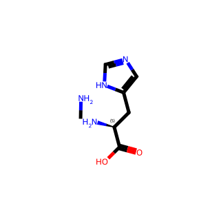 CN.N[C@@H](Cc1cnc[nH]1)C(=O)O